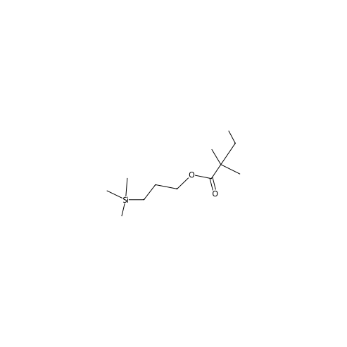 CCC(C)(C)C(=O)OCCC[Si](C)(C)C